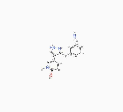 Cn1cc(-c2c[nH]nc2Cc2cccc(C#N)c2)ccc1=O